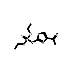 CCOP(=S)(OCC)Oc1nc(C(C)=O)cs1